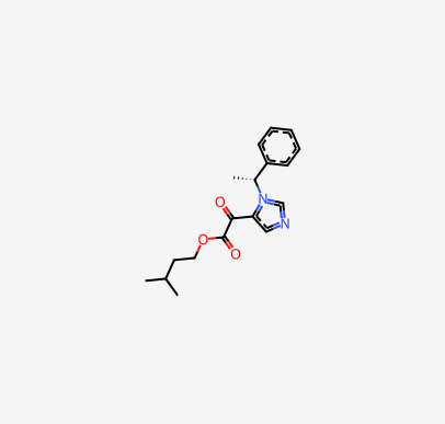 CC(C)CCOC(=O)C(=O)c1cncn1[C@H](C)c1ccccc1